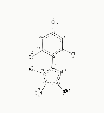 CC(C)(C)c1nn(-c2c(Cl)cc(C(F)(F)F)cc2Cl)c(Br)c1[N+](=O)[O-]